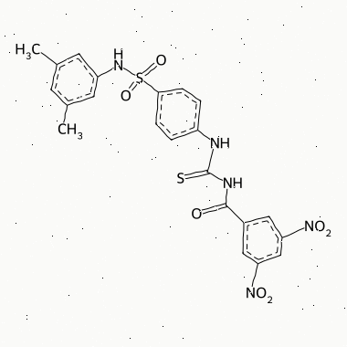 Cc1cc(C)cc(NS(=O)(=O)c2ccc(NC(=S)NC(=O)c3cc([N+](=O)[O-])cc([N+](=O)[O-])c3)cc2)c1